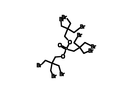 O=P(CC(CBr)(CBr)CBr)(OCC(CBr)(CBr)CBr)OCC(CBr)(CBr)CBr